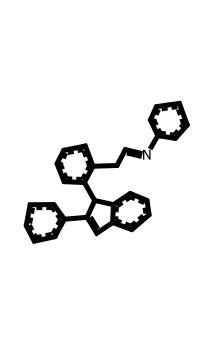 C(Cc1ccccc1C1C(c2ccccc2)=Cc2ccccc21)=Nc1ccccc1